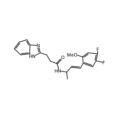 COc1cc(F)c(F)cc1/C=C/C(C)NC(=O)CCc1nc2ccccc2[nH]1